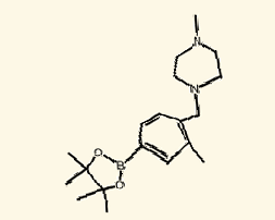 Cc1cc(B2OC(C)(C)C(C)(C)O2)ccc1CN1CCN(C)CC1